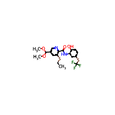 CCSc1cc(C(OC)OC)cnc1C(=O)Nc1cc(SC(F)(F)F)ccc1O